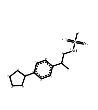 CC(CNS(C)(=O)=O)c1ccc(C2CCCC2)cc1